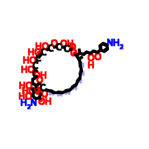 CC1/C=C/C=C/C=C/C=C/C=C/C=C/C=C/C(OC2OC(C)C(O)C(N)C2O)CC2OC(O)(CC(O)CC(O)CC(O)CC(O)CC(=O)CC(O)CC(=O)OC1C(C)CCC(O)CC(=O)c1ccc(N)cc1)CC(O)C2C(=O)O